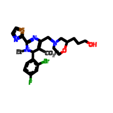 CCN1C(c2nccs2)=NC(CN2CCOC(CCCO)C2)=C(C(=O)O)C1c1ccc(F)cc1Br